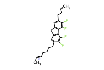 C=CCCc1cc2c(c(F)c1F)-c1c(cc(CCCC/C=C/C)c(F)c1F)C2